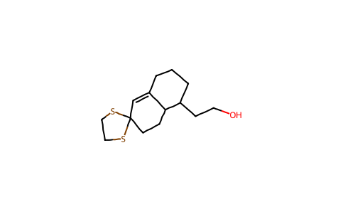 OCCC1CCCC2=CC3(CCC21)SCCS3